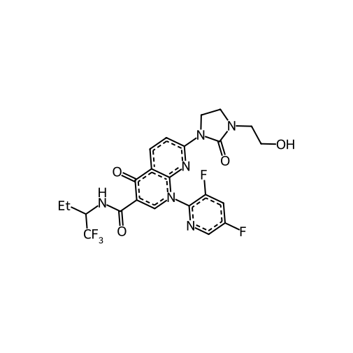 CCC(NC(=O)c1cn(-c2ncc(F)cc2F)c2nc(N3CCN(CCO)C3=O)ccc2c1=O)C(F)(F)F